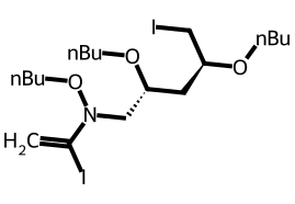 C=C(I)N(C[C@@H](C[C@@H](CI)OCCCC)OCCCC)OCCCC